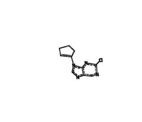 Clc1ncc2ncn(C3=CCCC3)c2n1